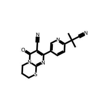 CC(C)(C#N)c1ccc(-c2nc3n(c(=O)c2C#N)CCCS3)cn1